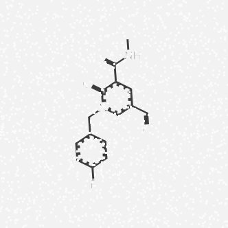 CNC(=O)c1cc(C=O)cn(Cc2ccc(F)cc2)c1=O